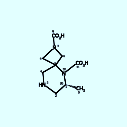 C[C@@H]1CNCC2(CN(C(=O)O)C2)N1C(=O)O